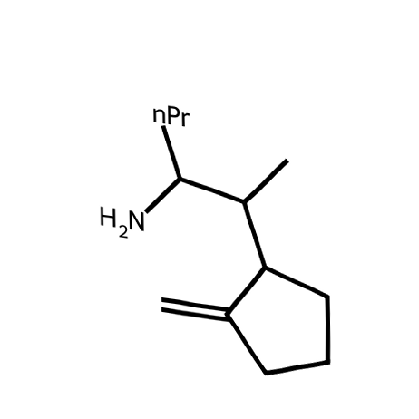 C=C1CCCC1C(C)C(N)CCC